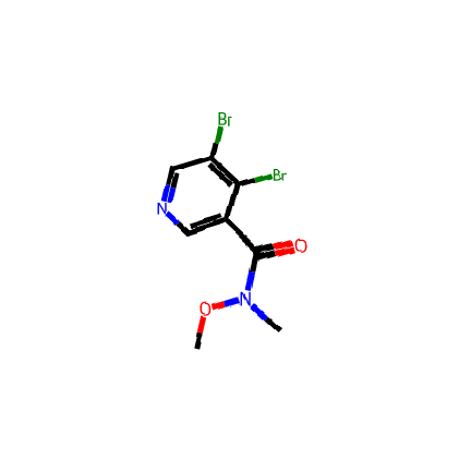 CON(C)C(=O)c1cncc(Br)c1Br